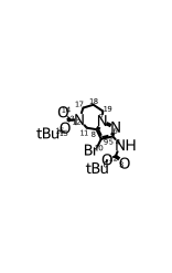 CC(C)(C)OC(=O)Nc1nn2c(c1Br)CN(C(=O)OC(C)(C)C)CCC2